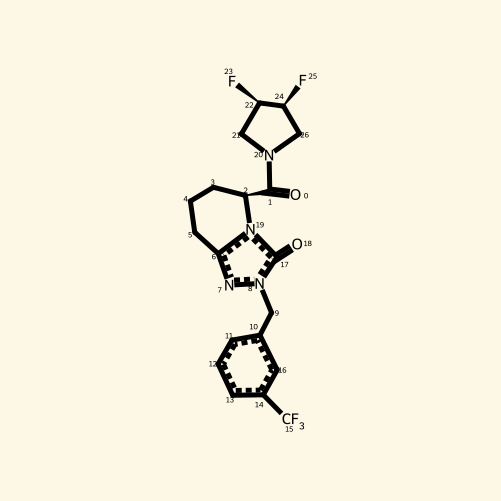 O=C([C@@H]1CCCc2nn(Cc3cccc(C(F)(F)F)c3)c(=O)n21)N1C[C@@H](F)[C@@H](F)C1